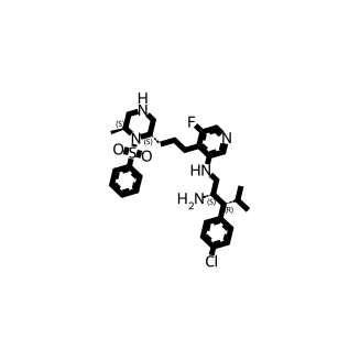 CC(C)[C@H](c1ccc(Cl)cc1)[C@H](N)CNc1cncc(F)c1CCC[C@H]1CNC[C@H](C)N1S(=O)(=O)c1ccccc1